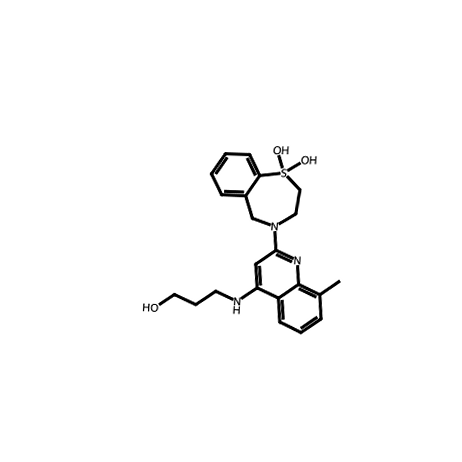 Cc1cccc2c(NCCCO)cc(N3CCS(O)(O)c4ccccc4C3)nc12